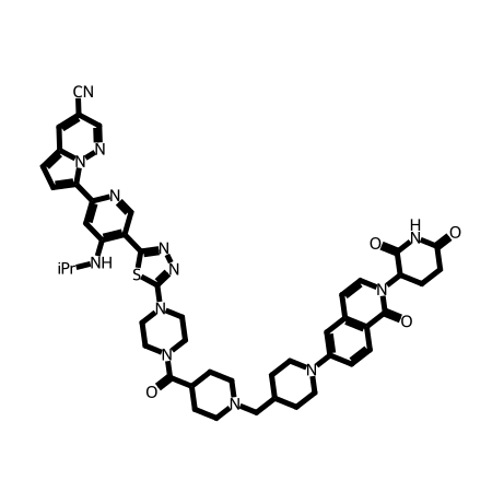 CC(C)Nc1cc(-c2ccc3cc(C#N)cnn23)ncc1-c1nnc(N2CCN(C(=O)C3CCN(CC4CCN(c5ccc6c(=O)n(C7CCC(=O)NC7=O)ccc6c5)CC4)CC3)CC2)s1